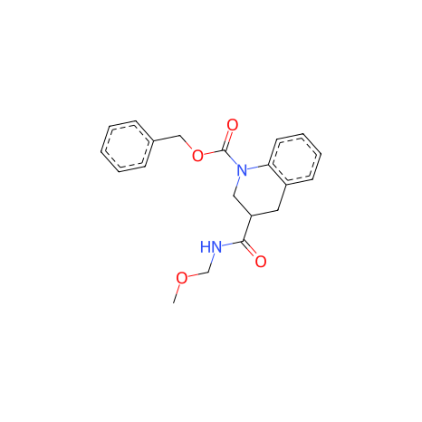 COCNC(=O)C1Cc2ccccc2N(C(=O)OCc2ccccc2)C1